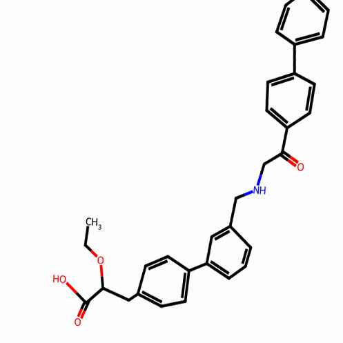 CCOC(Cc1ccc(-c2cccc(CNCC(=O)c3ccc(-c4ccccc4)cc3)c2)cc1)C(=O)O